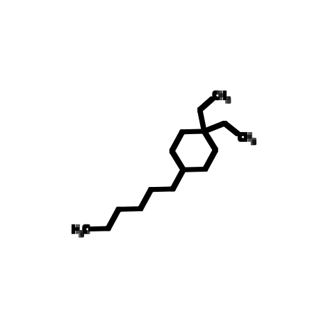 CCCCCCC1CCC(CC)(CC)CC1